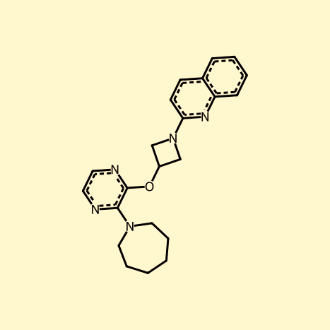 c1ccc2nc(N3CC(Oc4nccnc4N4CCCCCC4)C3)ccc2c1